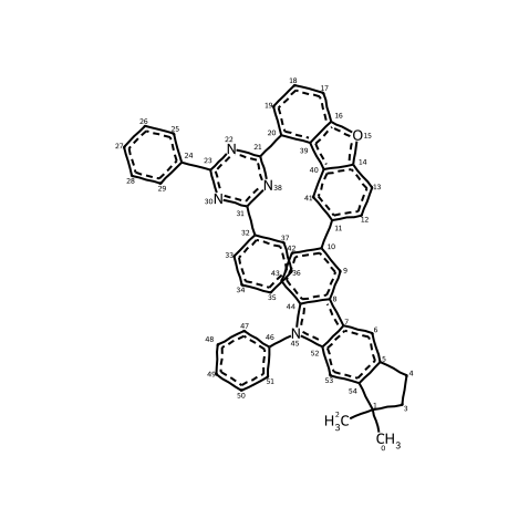 CC1(C)CCc2cc3c4cc(-c5ccc6oc7cccc(-c8nc(-c9ccccc9)nc(-c9ccccc9)n8)c7c6c5)ccc4n(-c4ccccc4)c3cc21